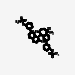 CCC1(C)C=CC(C)=C(c2c(C)ccc3ccc(-c4cccc(OS(=O)(=O)C(F)(F)F)c4)cc23)c2cc(-c3cccc(OS(=O)(=O)C(F)(F)F)c3)ccc21